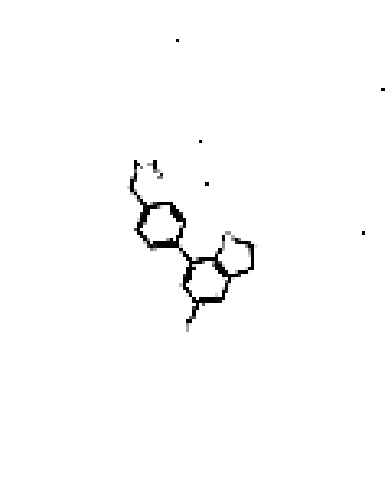 NCc1ccc(-c2cc(F)cc3c2O[CH]C3)cc1